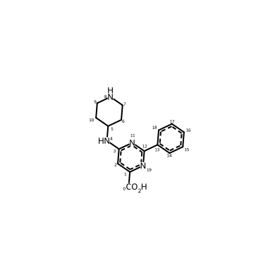 O=C(O)c1cc(NC2CCNCC2)nc(-c2ccccc2)n1